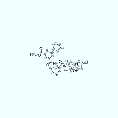 COC(=O)c1cc(C(=O)N[C@@H]2CCCC[C@@H]2C(=O)N2CC[C@](O)(c3ccc(Cl)cc3)C(C)(C)C2)cc(-c2ccccc2)c1